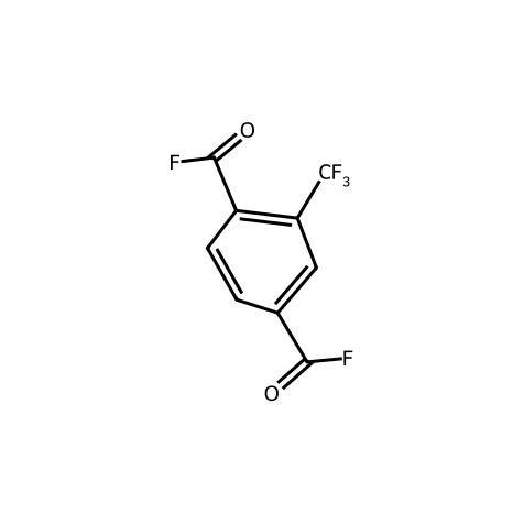 O=C(F)c1ccc(C(=O)F)c(C(F)(F)F)c1